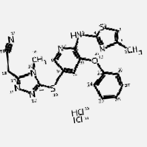 Cc1csc(Nc2ncc(Sc3nnc(CC#N)n3C)cc2Oc2ccccc2)n1.Cl.Cl